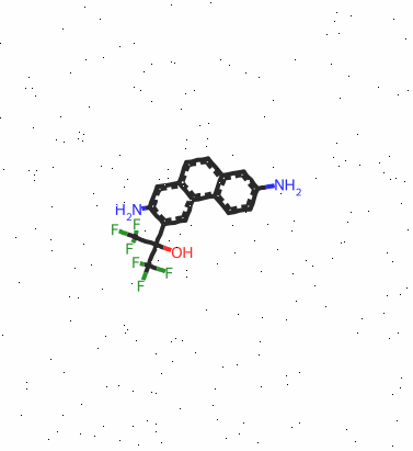 Nc1ccc2c(ccc3cc(N)c(C(O)(C(F)(F)F)C(F)(F)F)cc32)c1